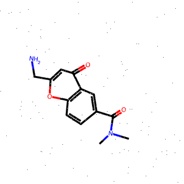 CN(C)C(=O)c1ccc2oc(CN)cc(=O)c2c1